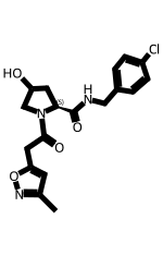 Cc1cc(CC(=O)N2CC(O)C[C@H]2C(=O)NCc2ccc(Cl)cc2)on1